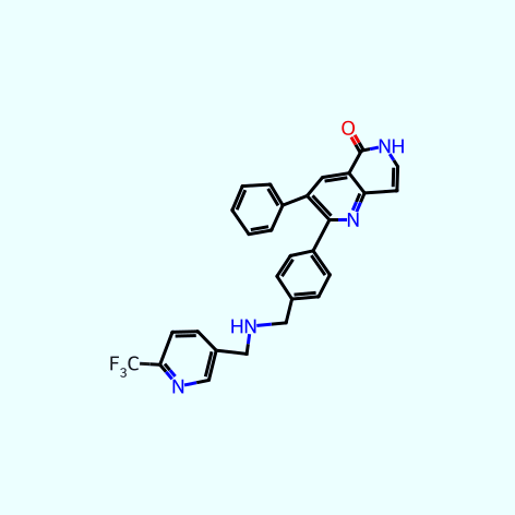 O=c1[nH]ccc2nc(-c3ccc(CNCc4ccc(C(F)(F)F)nc4)cc3)c(-c3ccccc3)cc12